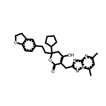 Cc1cc(C)n2nc(CC3=C(O)CC(CCc4ccc5c(c4)CCO5)(C4CCCC4)OC3=O)nc2n1